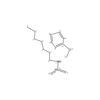 CCCCCCCN[SH](=O)=O.COc1ccccc1